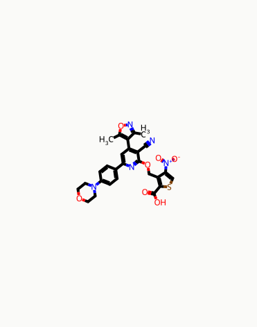 Cc1noc(C)c1-c1cc(-c2ccc(N3CCOCC3)cc2)nc(OCc2c([N+](=O)[O-])csc2C(=O)O)c1C#N